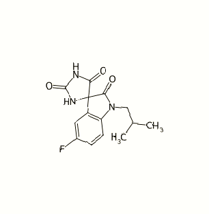 CC(C)CN1C(=O)C2(NC(=O)NC2=O)c2cc(F)ccc21